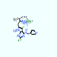 CC(C)C(N)Cc1[nH]c2nc(Cl)nc(NCc3ccncc3)c2c1F.Cl.Cl